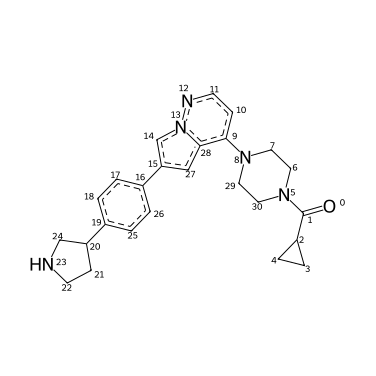 O=C(C1CC1)N1CCN(c2ccnn3cc(-c4ccc(C5CCNC5)cc4)cc23)CC1